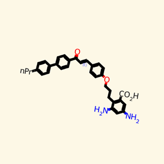 CCCc1ccc(-c2ccc(C(=O)/C=C/c3ccc(OCCCc4c(N)cc(N)cc4C(=O)O)cc3)cc2)cc1